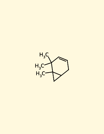 CC1(C)C=CCC2CC21C